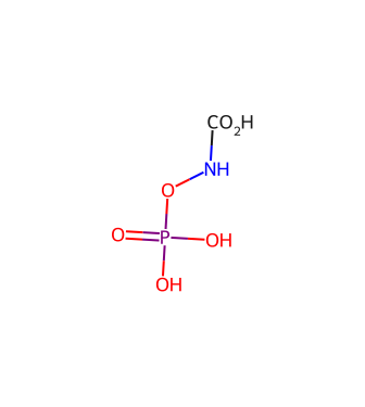 O=C(O)NOP(=O)(O)O